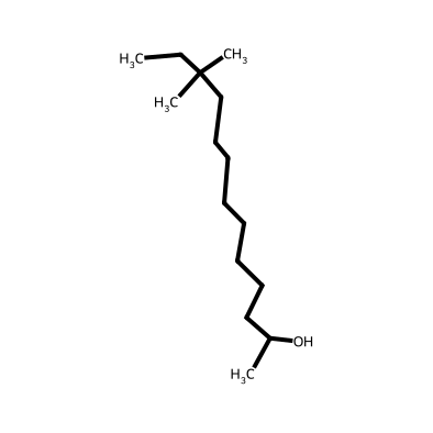 CCC(C)(C)CCCCCCCCC(C)O